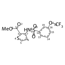 COC(=O)c1sccc1NS(=O)(=O)c1cccc(OC(F)(F)F)c1